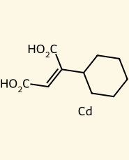 O=C(O)C=C(C(=O)O)C1CCCCC1.[Cd]